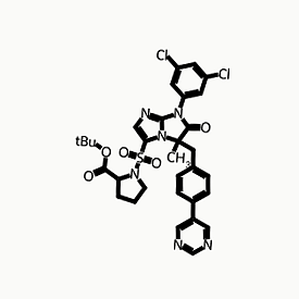 CC(C)(C)OC(=O)C1CCCN1S(=O)(=O)c1cnc2n1C(C)(Cc1ccc(-c3cncnc3)cc1)C(=O)N2c1cc(Cl)cc(Cl)c1